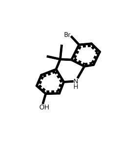 CC1(C)c2ccc(O)cc2Nc2cccc(Br)c21